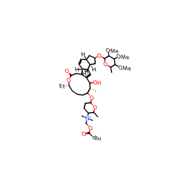 CC[C@H]1CCC[C@H](OC2CCC([N+](C)(C)COC(=O)C(C)(C)C)C(C)O2)[C@@H](C)C(O)C2=C[C@@H]3[C@@H](C=C[C@@H]4C[C@@H](OC5OC(C)C(OC)C(OC)C5OC)C[C@@H]34)[C@@H]2CC(=O)O1